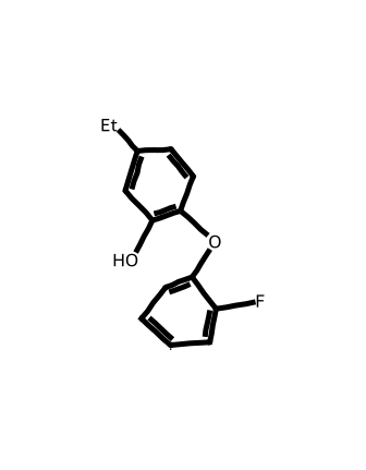 CCc1ccc(Oc2cc[c]cc2F)c(O)c1